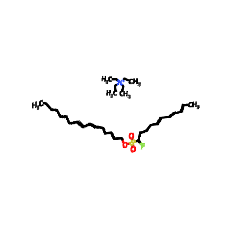 CCCCCCCCCCCCCCCCOS(=O)(=O)C(F)CCCCCCCCCC.CC[N+](CC)(CC)CC